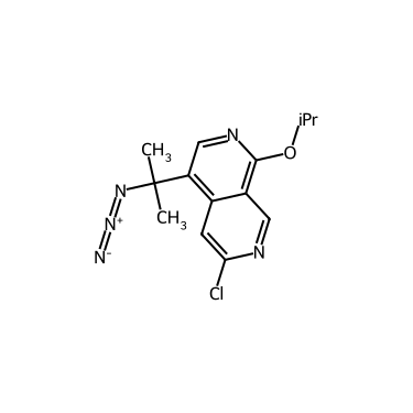 CC(C)Oc1ncc(C(C)(C)N=[N+]=[N-])c2cc(Cl)ncc12